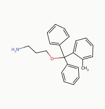 Cc1ccccc1C(OCCCN)(c1ccccc1)c1ccccc1